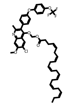 CC/C=C\C/C=C\C/C=C\C/C=C\C/C=C\C/C=C\CCC(=O)OCOc1c(-c2ccc(Oc3ccc(OC(F)(F)F)cc3)cc2)c(C)nc2cc(OC)c(Cl)cc12